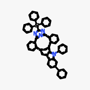 c1ccc(-c2ccc3c4cc5cc(c6ccccc6c6nc([Si](c7ccccc7)(c7ccccc7)c7ccccc7)nc(n6)c6ccccc56)c4n(-c4ccccc4)c3c2)cc1